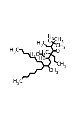 CCBC(CC(C)C(CCCCCCC)CCCCCCCC)C(C)(CCC)C(=O)C(CC)C(C)(C)C